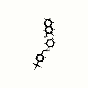 FC(F)(F)c1ccc(CN[C@H]2CC[C@@H](Oc3cc4ccncc4cc3Cl)CC2)cc1